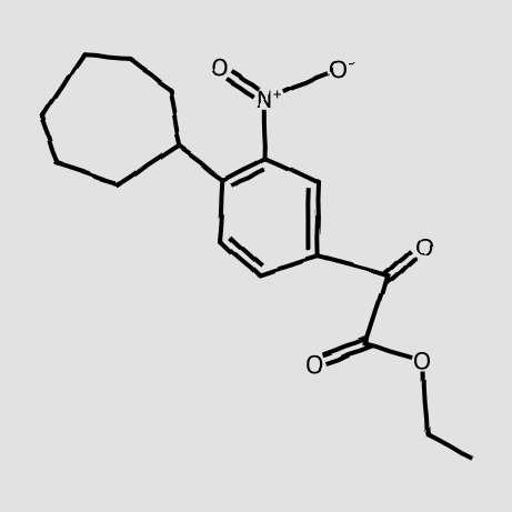 CCOC(=O)C(=O)c1ccc(C2CCCCCC2)c([N+](=O)[O-])c1